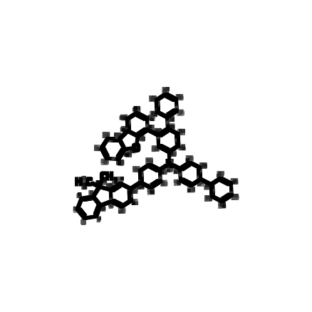 CC1(C)c2ccccc2-c2ccc(-c3ccc(N(c4ccc(-c5ccccc5)cc4)c4ccc(-c5ccccc5)c(-c5cccc6c5oc5ccccc56)c4)cc3)cc21